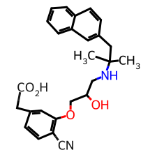 CC(C)(Cc1ccc2ccccc2c1)NCC(O)COc1cc(CC(=O)O)ccc1C#N